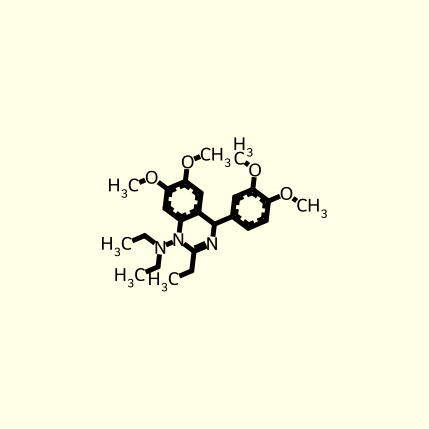 CCC1=NC(c2ccc(OC)c(OC)c2)c2cc(OC)c(OC)cc2N1N(CC)CC